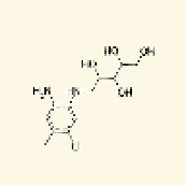 Cc1cc(N)c(NCC(O)C(O)C(O)CO)cc1Cl